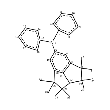 CC1(C)c2cc(N(c3ccccc3)c3ccccc3)cc3c2C(C1(C)C)C(C)(C)C3(C)C